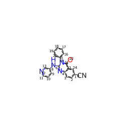 N#Cc1ccc2nc(Nc3cccnc3)n(-c3ccccc3)c(=O)c2c1